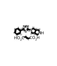 O=C(O)C=CC(=O)O.c1ccc(-c2nnc(N3CC4CNCC4C3)s2)cc1